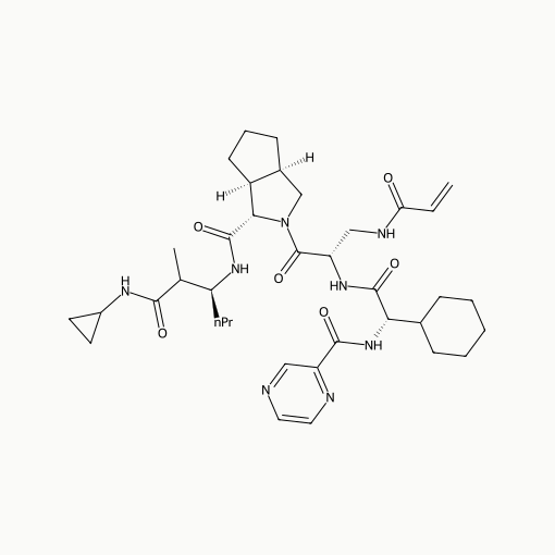 C=CC(=O)NC[C@H](NC(=O)[C@@H](NC(=O)c1cnccn1)C1CCCCC1)C(=O)N1C[C@@H]2CCC[C@@H]2[C@H]1C(=O)N[C@@H](CCC)C(C)C(=O)NC1CC1